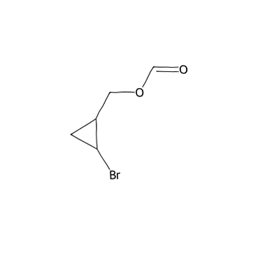 O=COCC1CC1Br